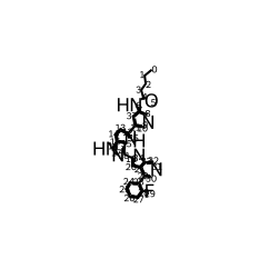 CCCCC(=O)Nc1cncc(-c2ccc3[nH]nc(-c4cc5c(-c6ccccc6F)cncc5[nH]4)c3n2)c1